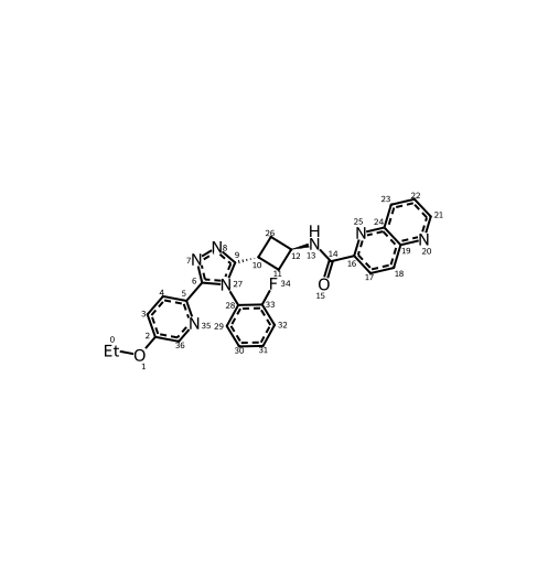 CCOc1ccc(-c2nnc([C@H]3C[C@H](NC(=O)c4ccc5ncccc5n4)C3)n2-c2ccccc2F)nc1